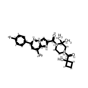 CC(C)c1cc(-c2ccc(F)cc2)nn2cc(C(=O)N3CCN(C(=O)C4(O)CCC4)CC3(C)C)nc12